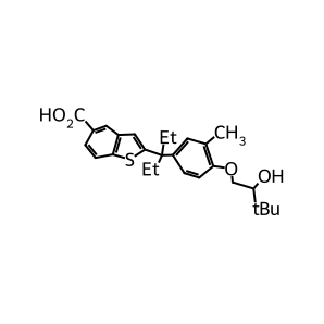 CCC(CC)(c1ccc(OCC(O)C(C)(C)C)c(C)c1)c1cc2cc(C(=O)O)ccc2s1